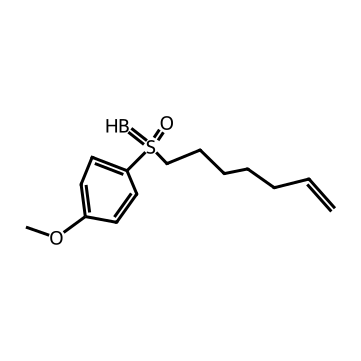 B=S(=O)(CCCCCC=C)c1ccc(OC)cc1